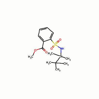 COC(=O)c1ccccc1S(=O)(=O)N[Si](C)(C)C(C)(C)C